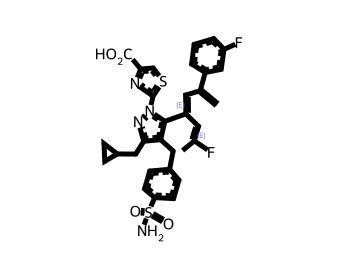 C=C(/C=C(\C=C(/C)F)c1c(Cc2ccc(S(N)(=O)=O)cc2)c(CC2CC2)nn1-c1nc(C(=O)O)cs1)c1cccc(F)c1